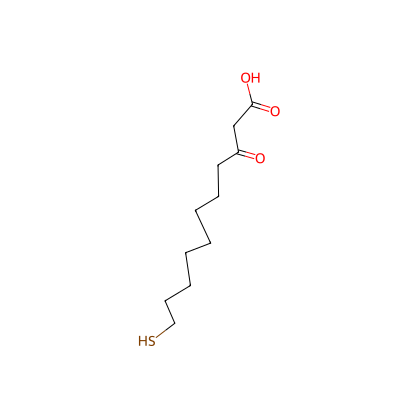 O=C(O)CC(=O)CCCCCCCCS